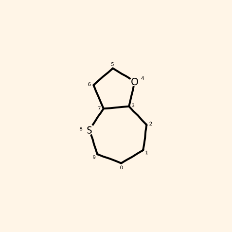 C1CCC2OCCC2SC1